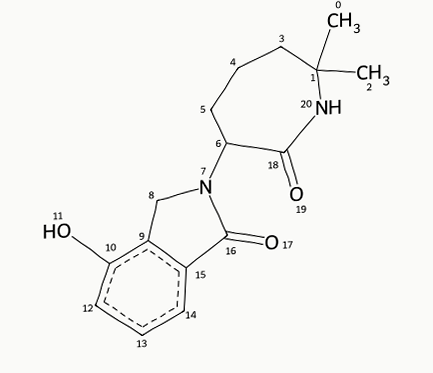 CC1(C)CCCC(N2Cc3c(O)cccc3C2=O)C(=O)N1